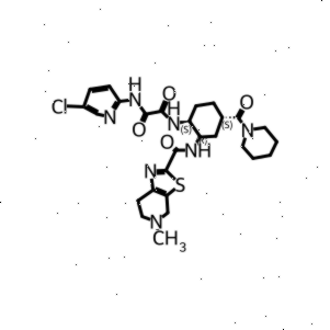 CN1CCc2nc(C(=O)N[C@@H]3C[C@@H](C(=O)N4CCCCC4)CC[C@@H]3NC(=O)C(=O)Nc3ccc(Cl)cn3)sc2C1